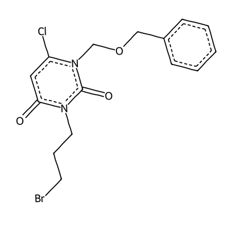 O=c1cc(Cl)n(COCc2ccccc2)c(=O)n1CCCBr